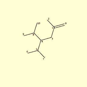 C=C(C)CC([C](C)C)C(C)C